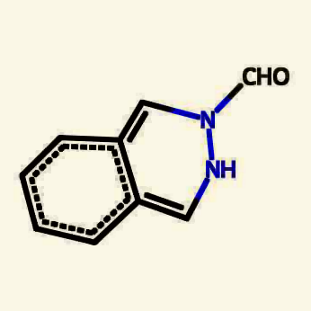 O=CN1C=c2ccccc2=CN1